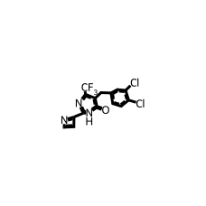 O=c1[nH]c(C2=NC=C2)nc(C(F)(F)F)c1Cc1ccc(Cl)c(Cl)c1